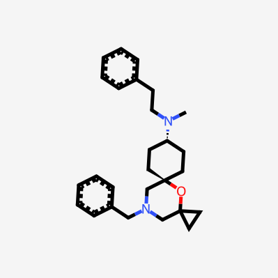 CN(CCc1ccccc1)[C@H]1CC[C@]2(CC1)CN(Cc1ccccc1)CC1(CC1)O2